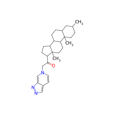 CC1CCC2(C)C(CCC3C2CCC2(C)C(C(=O)Cn4ccc5cnnc-5c4)CCC32)C1